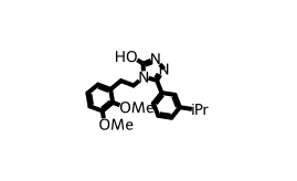 COc1cccc(CCn2c(O)nnc2-c2cccc(C(C)C)c2)c1OC